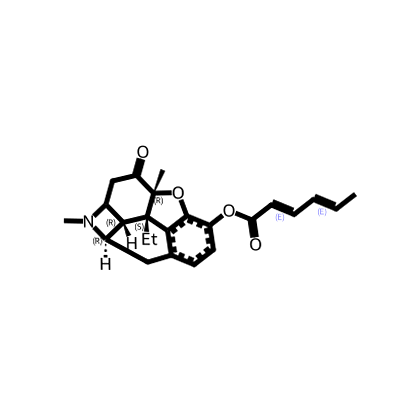 C/C=C/C=C/C(=O)Oc1ccc2c3c1O[C@@]1(C)C(=O)CC4[C@@H]([C@@H](C2)N4C)[C@@]31CC